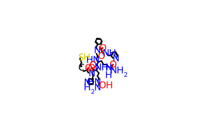 NC(=O)NCCCC(NC(=O)CN(Cc1ccccc1)C(=O)CNCc1cccnc1)C(=O)NC(CCCNC(N)O)C(=O)N(CC(=O)C=C=CCCS)Cc1cccnc1